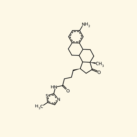 Cc1cnc(NC(=O)CCC[C@@H]2CC(=O)[C@@]3(C)CCC4c5cc(N)ccc5CCC4C23)s1